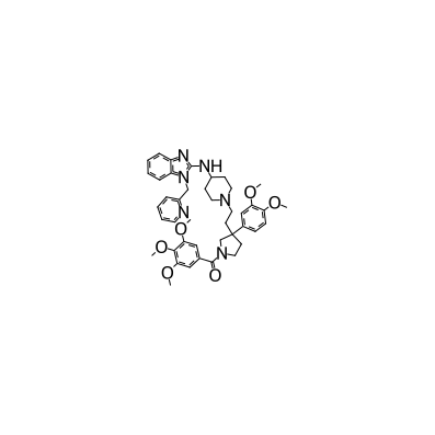 COc1ccc(C2(CCN3CCC(Nc4nc5ccccc5n4Cc4ccccn4)CC3)CCN(C(=O)c3cc(OC)c(OC)c(OC)c3)C2)cc1OC